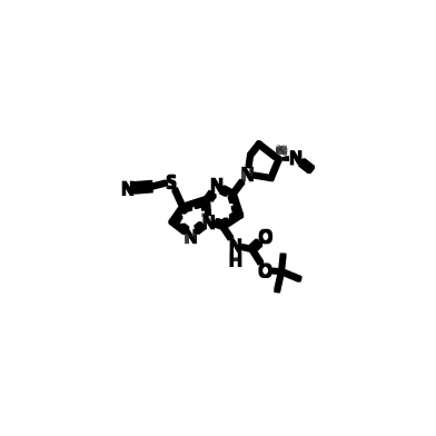 C=N[C@H]1CCN(c2cc(NC(=O)OC(C)(C)C)n3ncc(SC#N)c3n2)C1